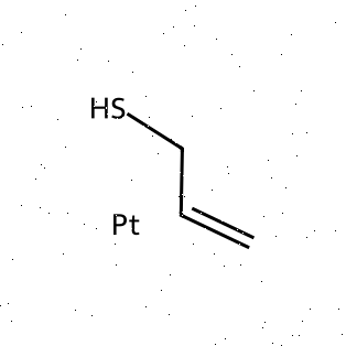 C=CCS.[Pt]